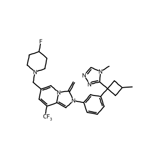 C=C1N2C=C(CN3CCC(F)CC3)C=C(C(F)(F)F)C2=CN1c1cccc(C2(c3nncn3C)CC(C)C2)c1